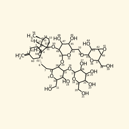 C=C1CC[C@@H]2[C@@]3(CCC4OC(CO)C(O)C(OC5OC(CO)C(O)C(O)C5O)C4OC4OC(COC5OC(CO)C6OC6C5O)C(O)C(O)C4O[C@]24CCC[C@H](C)[C@H]4CC3)C1